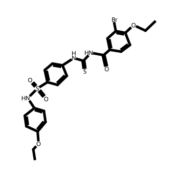 CCOc1ccc(NS(=O)(=O)c2ccc(NC(=S)NC(=O)c3ccc(OCC)c(Br)c3)cc2)cc1